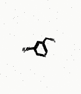 NCc1cncc(N)c1